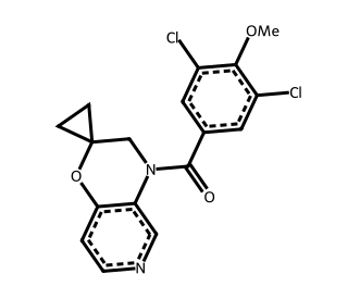 COc1c(Cl)cc(C(=O)N2CC3(CC3)Oc3ccncc32)cc1Cl